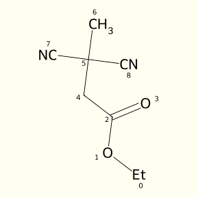 CCOC(=O)CC(C)(C#N)C#N